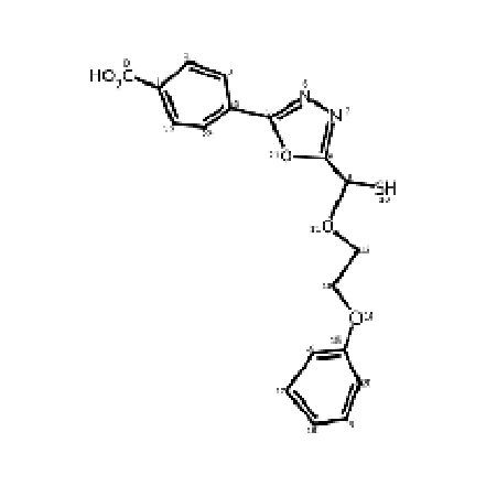 O=C(O)c1ccc(-c2nnc(C(S)OCCOc3ccccc3)o2)cc1